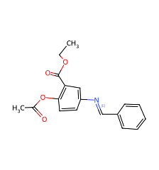 CCOC(=O)c1cc(/N=C/c2ccccc2)ccc1OC(C)=O